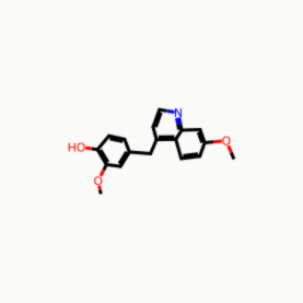 COc1ccc2c(Cc3ccc(O)c(OC)c3)ccnc2c1